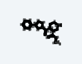 COC(=O)[C@H]1CNCC[C@@H]1C(=O)N1CC[C@H](c2ccccc2)C1